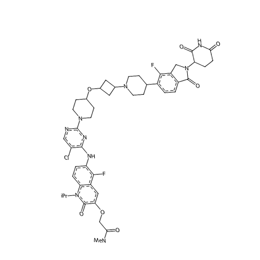 CNC(=O)COc1cc2c(F)c(Nc3nc(N4CCC(OC5CC(N6CCC(c7ccc8c(c7F)CN(C7CCC(=O)NC7=O)C8=O)CC6)C5)CC4)ncc3Cl)ccc2n(C(C)C)c1=O